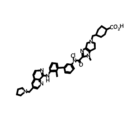 Cc1c(Nc2nccc3cc(CN4CCCC4)cnc23)cccc1-c1cccc(N(Cl)C(=O)c2nc3c(n2C)CCN(CC2CCC(C(=O)O)CC2)C3)c1